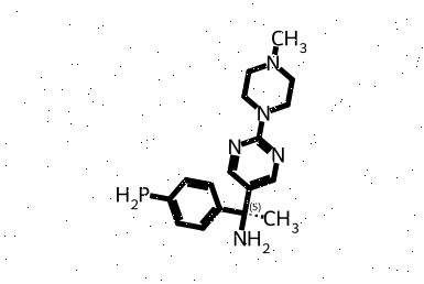 CN1CCN(c2ncc([C@@](C)(N)c3ccc(P)cc3)cn2)CC1